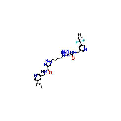 CC(F)(F)c1cncc(CNC(=O)/C(N)=C/N(N)CCCCn2cc(C(=O)NCc3cncc(C(F)(F)F)c3)nn2)c1